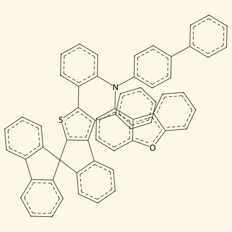 c1ccc(-c2ccc(N(c3ccccc3-c3sc4c(c3-c3ccccc3)-c3ccccc3C43c4ccccc4-c4ccccc43)c3cccc4oc5ccccc5c34)cc2)cc1